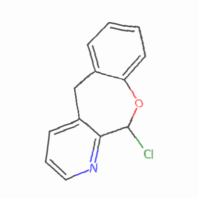 ClC1Oc2ccccc2Cc2cccnc21